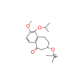 COc1ccc2c(c1OC(C)C)CCC(O[Si](C)(C)C)CC2=O